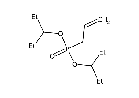 C=CCP(=O)(OC(CC)CC)OC(CC)CC